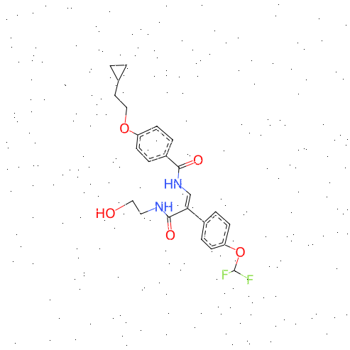 O=C(NCCO)C(=CNC(=O)c1ccc(OCCC2CC2)cc1)c1ccc(OC(F)F)cc1